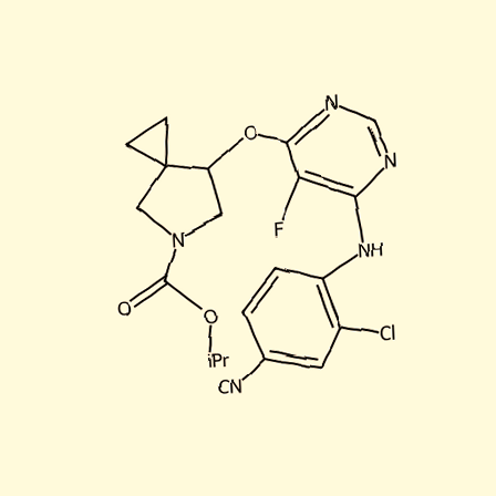 [C-]#[N+]c1ccc(Nc2ncnc(OC3CN(C(=O)OC(C)C)CC34CC4)c2F)c(Cl)c1